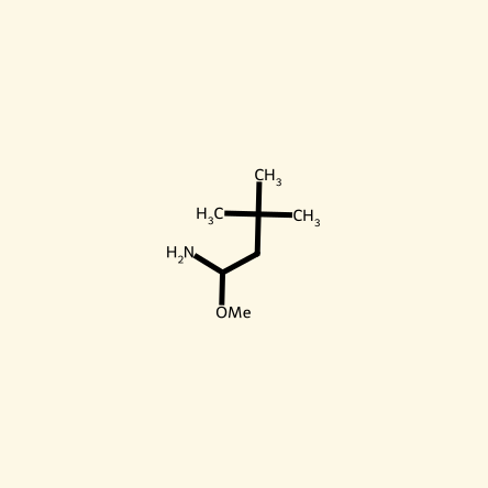 COC(N)CC(C)(C)C